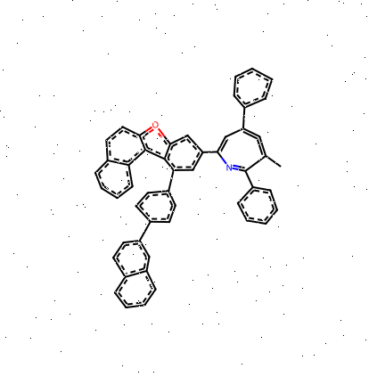 CC1=C=C(c2ccccc2)C=C(c2cc(-c3ccc(-c4ccc5ccccc5c4)cc3)c3c(c2)oc2ccc4ccccc4c23)N=C1c1ccccc1